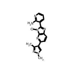 Cc1nn(C)cc1-c1ccc2nc(-c3cccnc3N)n(Cl)c2n1